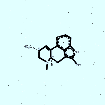 CCCc1[nH]c2cccc3c2c1C[C@@H]1C3=C[C@@H](C(=O)O)CN1C